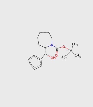 CC(C)(C)OC(=O)N1CCCCCC1C(O)c1ccccc1